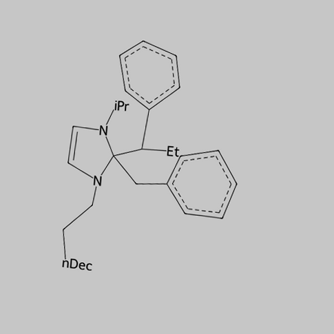 CCCCCCCCCCCCN1C=CN(C(C)C)C1(Cc1ccccc1)C(CC)c1ccccc1